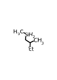 CCC(C)C[SiH2]C